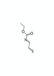 CCOC(=O)N=CC=S